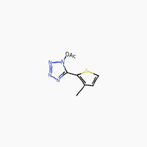 CC(=O)On1nnnc1-c1sccc1C